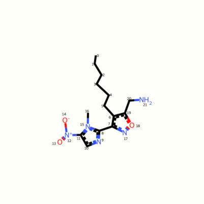 CCCCCCc1c(-c2ncc([N+](=O)[O-])n2C)noc1CN